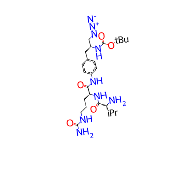 CC(C)[C@H](N)C(=O)N[C@@H](CCCNC(N)=O)C(=O)Nc1ccc(C[C@@H](CN=[N+]=[N-])NC(=O)OC(C)(C)C)cc1